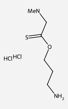 CNCC(=S)OCCCN.Cl.Cl